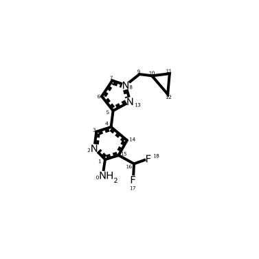 Nc1ncc(-c2ccn(CC3CC3)n2)cc1C(F)F